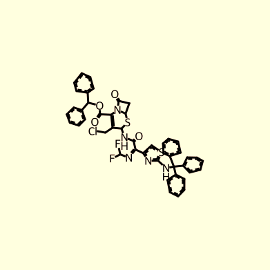 O=C(NC1SC2CC(=O)N2C(C(=O)OC(c2ccccc2)c2ccccc2)=C1CCl)C(=NC(F)F)c1csc(NC(c2ccccc2)(c2ccccc2)c2ccccc2)n1